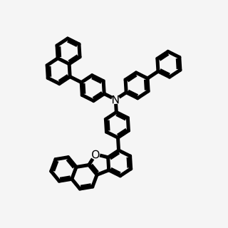 c1ccc(-c2ccc(N(c3ccc(-c4cccc5ccccc45)cc3)c3ccc(-c4cccc5c4oc4c6ccccc6ccc54)cc3)cc2)cc1